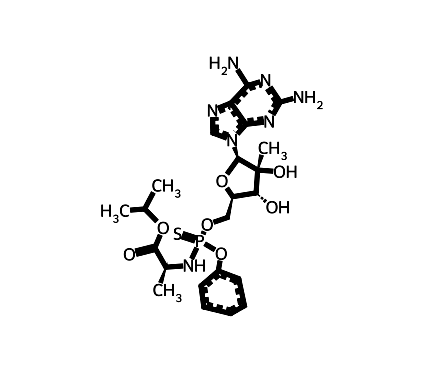 CC(C)OC(=O)[C@H](C)NP(=S)(OC[C@H]1O[C@@H](n2cnc3c(N)nc(N)nc32)[C@](C)(O)[C@@H]1O)Oc1ccccc1